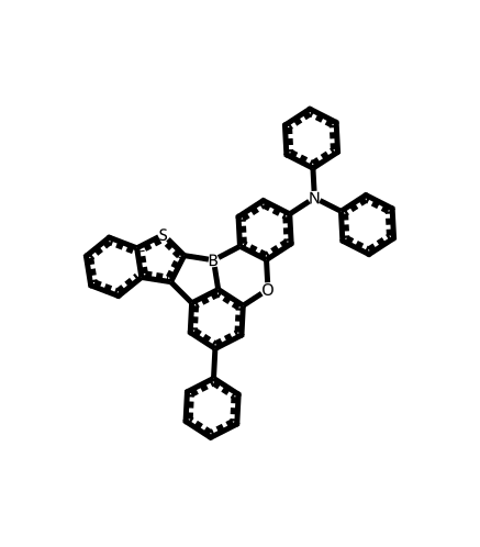 c1ccc(-c2cc3c4c(c2)-c2c(sc5ccccc25)B4c2ccc(N(c4ccccc4)c4ccccc4)cc2O3)cc1